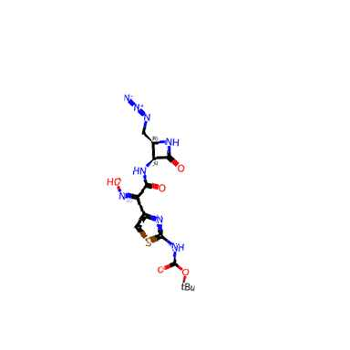 CC(C)(C)OC(=O)Nc1nc(/C(=N/O)C(=O)N[C@@H]2C(=O)N[C@@H]2CN=[N+]=[N-])cs1